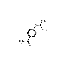 CC(=O)OC(C)Oc1ccc(C(N)=O)cc1